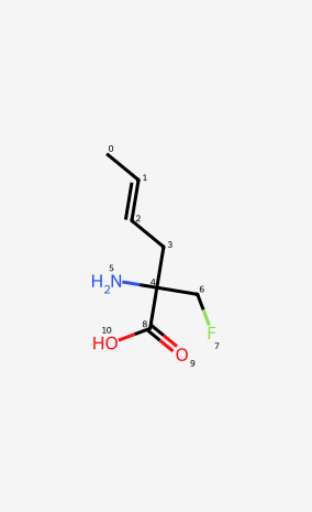 CC=CCC(N)(CF)C(=O)O